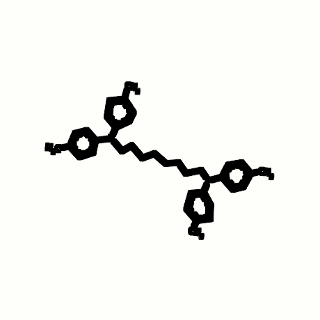 Cc1ccc(P(CCCCCCCCP(c2ccc(C)cc2)c2ccc(C)cc2)c2ccc(C)cc2)cc1